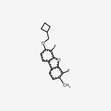 Cc1ccc2c(oc3c(F)c(OCC4CCC4)ccc32)c1F